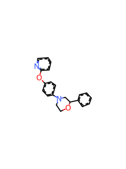 c1ccc(C2CN(c3ccc(Oc4ccccn4)cc3)CCO2)cc1